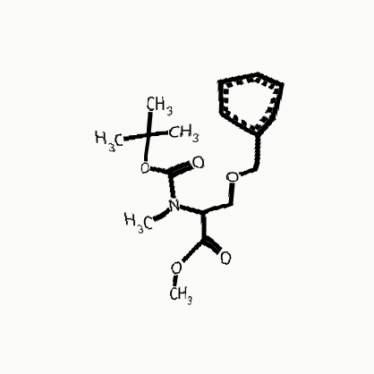 COC(=O)C(COCc1ccccc1)N(C)C(=O)OC(C)(C)C